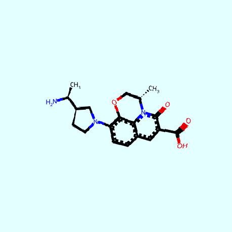 C[C@H](N)[C@@H]1CCN(c2ccc3cc(C(=O)O)c(=O)n4c3c2OC[C@@H]4C)C1